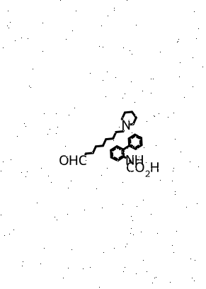 O=C(O)Nc1ccccc1-c1ccccc1.O=CCCCCCCCCN1CCCCC1